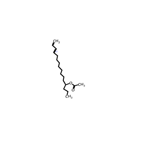 C=C/C=C/CCCCCCCCC(CCC)OC(C)=O